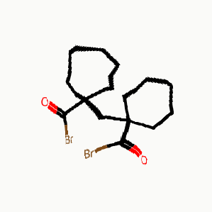 O=C(Br)C1(CC2(C(=O)Br)CCCCC2)CCCCC1